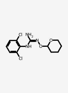 NC(=NOC1CCCCO1)Nc1c(Cl)cccc1Cl